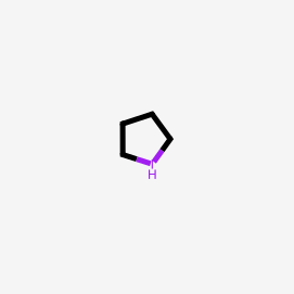 C1CC[IH]C1